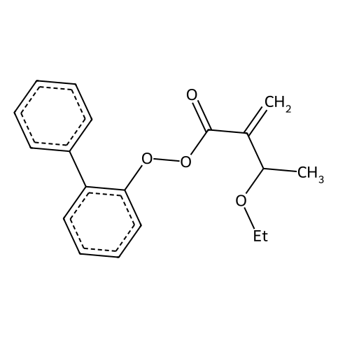 C=C(C(=O)OOc1ccccc1-c1ccccc1)C(C)OCC